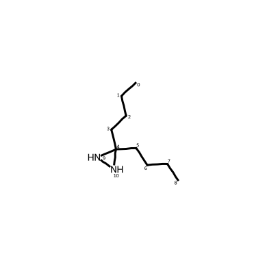 CCCCC1(CCCC)NN1